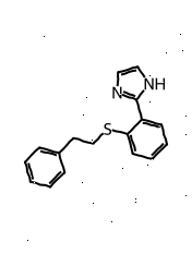 c1ccc(CCSc2ccccc2-c2ncc[nH]2)cc1